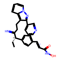 CC[C@H](C(=N)CCc1c(-c2cccnc2)nn2ccccc12)c1ccc(/C=C/C(=O)NO)cc1